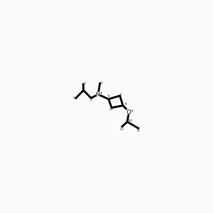 CC(C)CN(C)C1CC(OC(C)C)C1